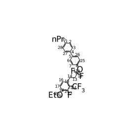 CCCc1ccc(-c2ccc(OC(F)(F)CCc3ccc(OCC)c(F)c3C(F)(F)F)cc2)cc1